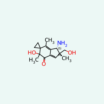 CC1=C2C(=C[C@@](C)(CO)[C@H]2N)C(=O)C(C)(O)C12CC2